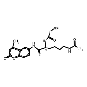 Cc1cc(=O)oc2ccc(NC(=O)[C@H](CCCCNC(=O)C(F)(F)F)NC(=O)OC(C)(C)C)cc12